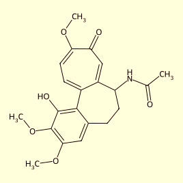 COc1cc2c(c(O)c1OC)-c1ccc(OC)c(=O)cc1C(NC(C)=O)CC2